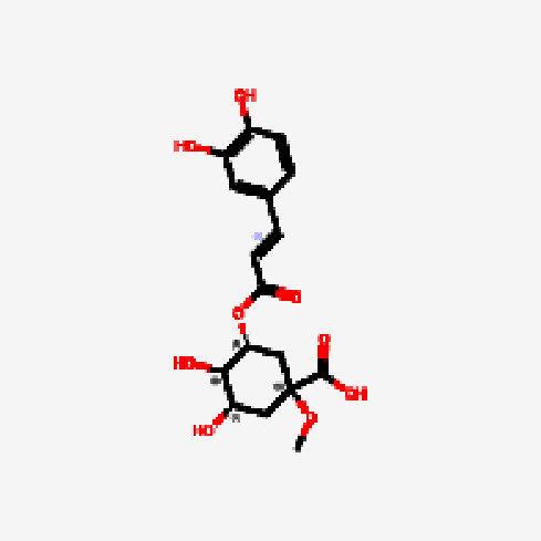 CO[C@@]1(C(=O)O)C[C@@H](O)[C@@H](O)[C@H](OC(=O)/C=C/c2ccc(O)c(O)c2)C1